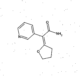 NC(=O)C(=C1CCCO1)c1cccnc1